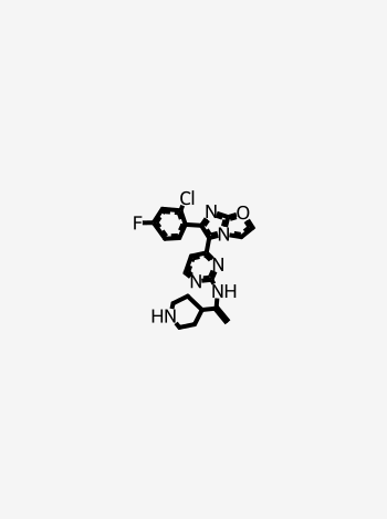 C=C(Nc1nccc(-c2c(-c3ccc(F)cc3Cl)nc3occn23)n1)C1CCNCC1